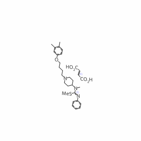 CS/C(=N\c1ccccc1)N(C)C1CCN(CCCCOc2ccc(C)c(C)c2)CC1.O=C(O)/C=C/C(=O)O